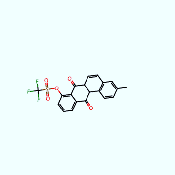 Cc1ccc2c(c1)C=CC1C(=O)c3c(OS(=O)(=O)C(F)(F)F)cccc3C(=O)C21